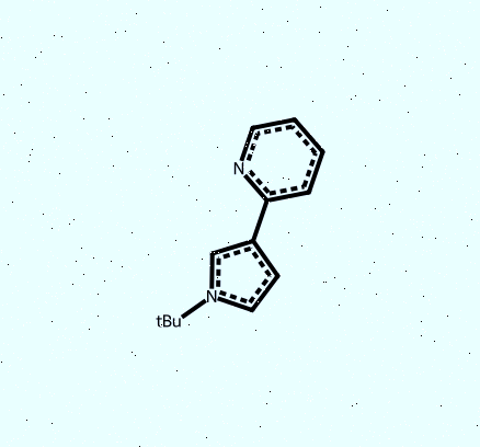 CC(C)(C)n1ccc(-c2ccccn2)c1